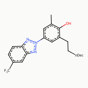 CCCCCCCCCCCCc1cc(-n2nc3ccc(C(F)(F)F)cc3n2)cc(C)c1O